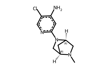 CN1C[C@H]2C[C@@H]1CN2c1cc(N)c(Cl)cn1